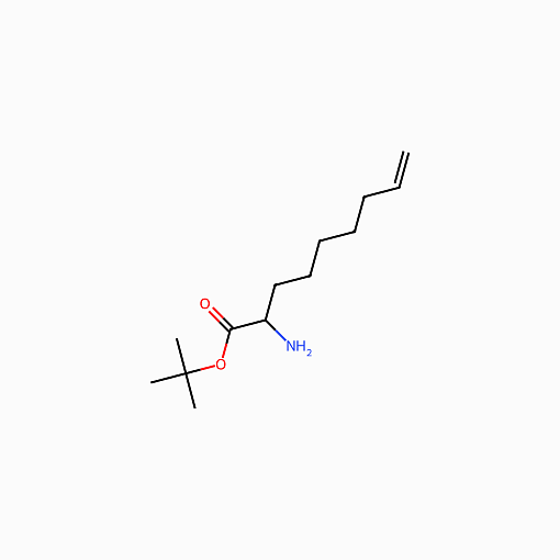 C=CCCCCCC(N)C(=O)OC(C)(C)C